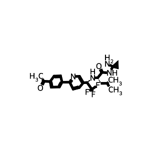 CC(=O)c1ccc(-c2ccc([C@H](N[C@@H](CC(C)C)C(=O)NC3(N)CC3)C(F)(F)F)cn2)cc1